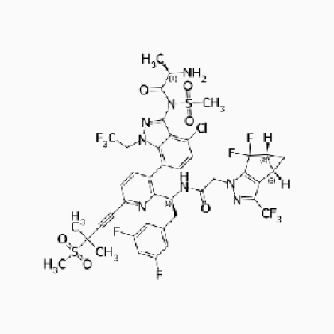 C[C@@H](N)C(=O)N(c1nn(CC(F)(F)F)c2c(-c3ccc(C#CC(C)(C)S(C)(=O)=O)nc3[C@H](Cc3cc(F)cc(F)c3)NC(=O)Cn3nc(C(F)(F)F)c4c3C(F)(F)[C@@H]3C[C@H]43)ccc(Cl)c12)S(C)(=O)=O